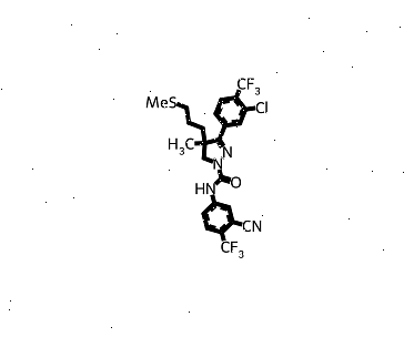 CSCCCC1(C)CN(C(=O)Nc2ccc(C(F)(F)F)c(C#N)c2)N=C1c1ccc(C(F)(F)F)c(Cl)c1